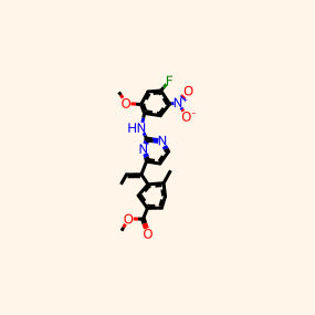 C/C=C(/c1ccnc(Nc2cc([N+](=O)[O-])c(F)cc2OC)n1)c1cc(C(=O)OC)ccc1C